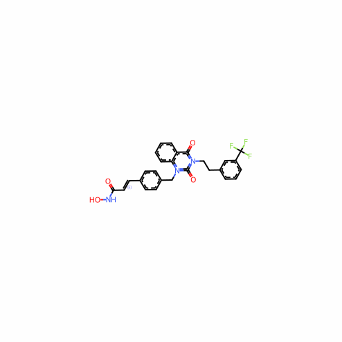 O=C(/C=C/c1ccc(Cn2c(=O)n(CCc3cccc(C(F)(F)F)c3)c(=O)c3ccccc32)cc1)NO